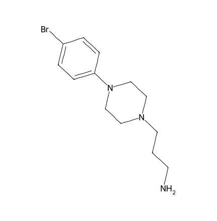 NCCCN1CCN(c2ccc(Br)cc2)CC1